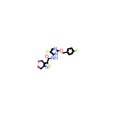 O=C(Nc1nc(OCc2ccc(F)cc2)ncc1F)c1snc(CI)c1CI